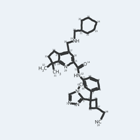 Cn1cnnc1C1(c2cccc(NC(=O)c3cc(CNCC4CCCCC4)c4c(n3)C(C)(C)CC4)c2)CC(CC#N)C1